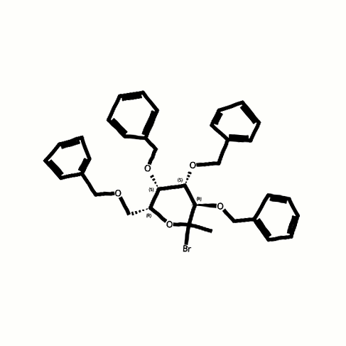 CC1(Br)O[C@H](COCc2ccccc2)[C@H](OCc2ccccc2)[C@H](OCc2ccccc2)[C@H]1OCc1ccccc1